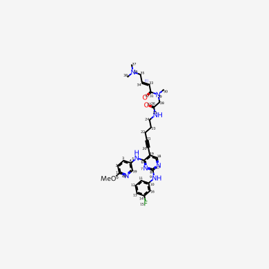 COc1ccc(Nc2nc(Nc3cccc(F)c3)ncc2C#CCCCNC(=O)CN(C)C(=O)/C=C/CN(C)C)cn1